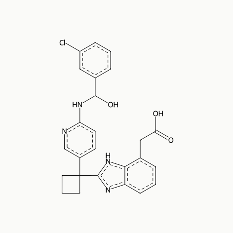 O=C(O)Cc1cccc2nc(C3(c4ccc(NC(O)c5cccc(Cl)c5)nc4)CCC3)[nH]c12